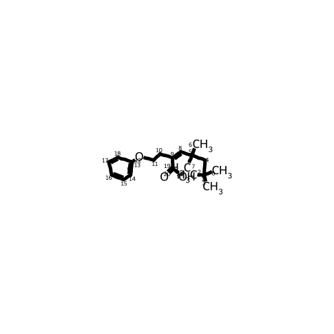 CC(C)(C)CC(C)(C)C=C(CCOc1ccccc1)C(=O)O